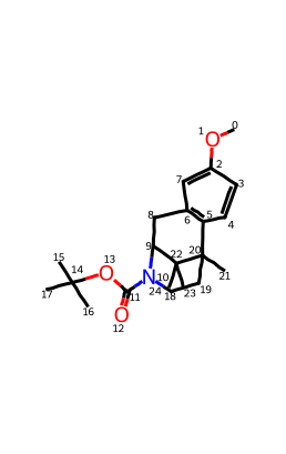 COc1ccc2c(c1)CC1N(C(=O)OC(C)(C)C)CCC2(C)C1(C)C